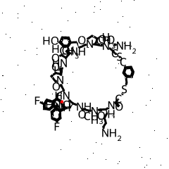 C[C@H]1NC(=O)[C@H](CCCCN)NC(=O)CCSCc2cccc(c2)CSC[C@@H](C(N)=O)NC(=O)[C@]2(C)CCCN2C(=O)[C@H](Cc2ccc(O)cc2)NC(=O)[C@H]([C@@H](C)O)NC(=O)[C@@H]2CCCN2C(=O)[C@H](Cc2c[nH]c3ccc(F)cc23)NC(=O)[C@H](Cc2c[nH]c3ccc(F)cc23)NC1=O